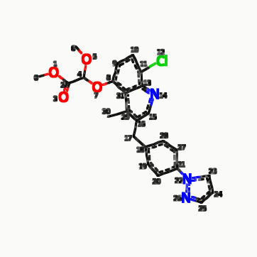 COC(=O)C(OC)Oc1ccc(Cl)c2ncc(Cc3ccc(-n4cccn4)cc3)c(C)c12